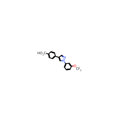 O=C(O)c1ccc(-c2cnn(-c3cccc(OC(F)(F)F)c3)c2)cc1